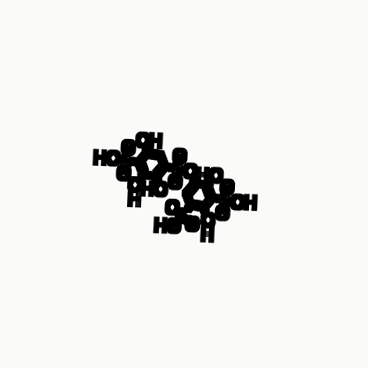 O=S(=O)(O)c1cc(OS(=O)(=O)c2cc(O)c(S(=O)(=O)O)c(O)c2O)c(O)c(S(=O)(=O)O)c1O